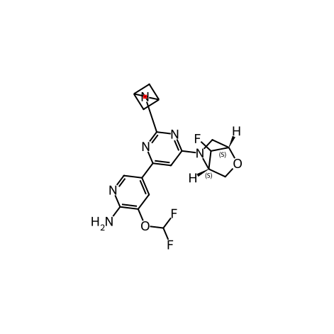 Nc1ncc(-c2cc(N3C[C@@H]4OC[C@H]3C4F)nc(N3CC4CC3C4)n2)cc1OC(F)F